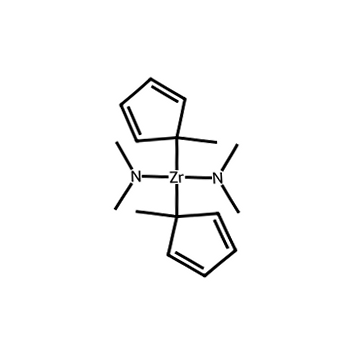 C[N](C)[Zr]([N](C)C)([C]1(C)C=CC=C1)[C]1(C)C=CC=C1